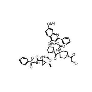 C=C[C@@H]1C[C@]1(NC(=O)[C@@H]1C[C@@H](Oc2cc(-c3ccccc3)nc3cc(OC)ccc23)CN1C(=O)C1(NC(=O)OC(C)(C)C)CCN(C(=O)CCl)CC1)C(=O)NS(=O)(=O)c1ccccc1